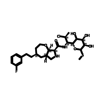 CSC1O[C@H]([C@H](NC(=O)[C@H]2NC[C@@H]3C[C@@H](CCc4cccc(F)c4)CCO[C@H]32)[C@H](C)Cl)C(O)[C@@H](O)[C@H]1O